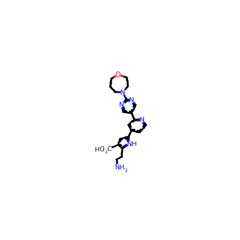 NCCc1[nH]c(-c2ccnc(-c3cnc(N4CCCOCC4)nc3)c2)cc1C(=O)O